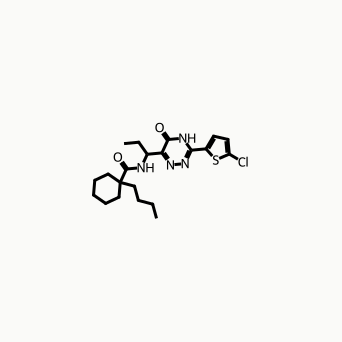 CCCCC1(C(=O)NC(CC)c2nnc(-c3ccc(Cl)s3)[nH]c2=O)CCCCC1